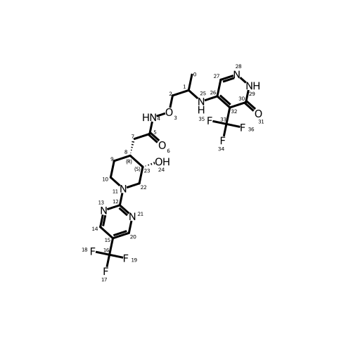 CC(CONC(=O)C[C@H]1CCN(c2ncc(C(F)(F)F)cn2)C[C@H]1O)Nc1cn[nH]c(=O)c1C(F)(F)F